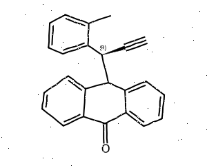 C#C[C@H](c1ccccc1C)C1c2ccccc2C(=O)c2ccccc21